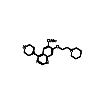 COc1cc2c(N3CC[N]CC3)ncnc2cc1OCCN1CCCCC1